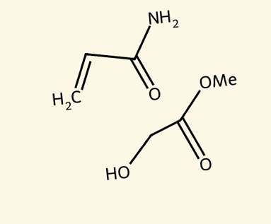 C=CC(N)=O.COC(=O)CO